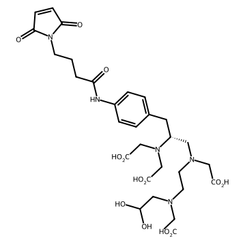 O=C(O)CN(CCN(CC(=O)O)C[C@@H](Cc1ccc(NC(=O)CCCN2C(=O)C=CC2=O)cc1)N(CC(=O)O)CC(=O)O)CC(O)O